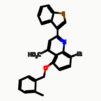 CCc1ccc(OCc2ccccc2C)c2c(C(=O)O)cc(-c3csc4ccccc34)nc12